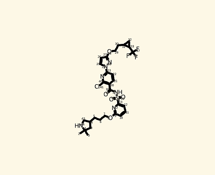 CC1(C)CC(CCCOc2cccc(S(=O)(=O)NC(=O)c3ccc(-n4ccc(OCCC5CC5C(F)(F)F)n4)nc3Cl)n2)CN1